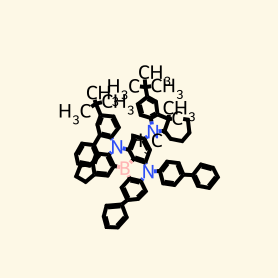 CC(C)(C)c1ccc(N2c3cc4c(cc3B3c5cc(-c6ccccc6)ccc5N(c5ccc(-c6ccccc6)cc5)c5cc(N6c7ccc(C(C)(C)C)cc7C7(C)CCCCCC67C)cc2c53)CCC4)c(-c2ccccc2)c1